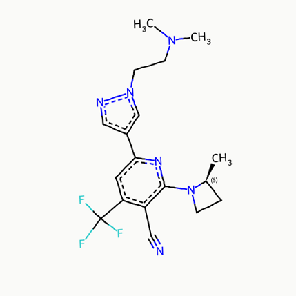 C[C@H]1CCN1c1nc(-c2cnn(CCN(C)C)c2)cc(C(F)(F)F)c1C#N